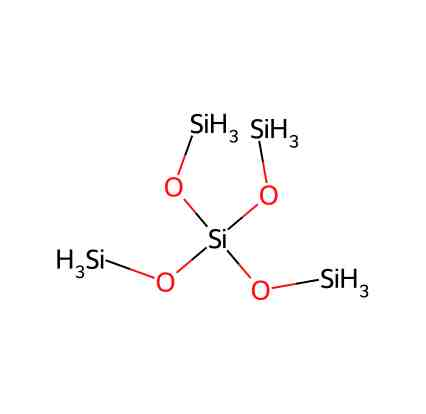 [SiH3]O[Si](O[SiH3])(O[SiH3])O[SiH3]